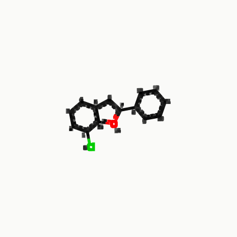 Clc1cccc2cc(-c3ccccc3)oc12